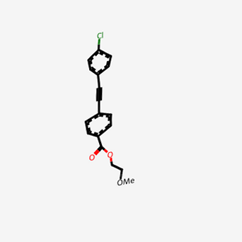 COCCOC(=O)c1ccc(C#Cc2ccc(Cl)cc2)cc1